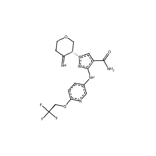 N=C1CCOC[C@@H]1n1cc(C(N)=O)c(Nc2ccc(OCC(F)(F)F)nc2)n1